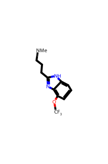 CNCCCc1nc2c(OC(F)(F)F)cccc2[nH]1